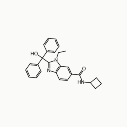 CCn1c(C(O)(c2ccccc2)c2ccccc2)nc2ccc(C(=O)NC3CCC3)cc21